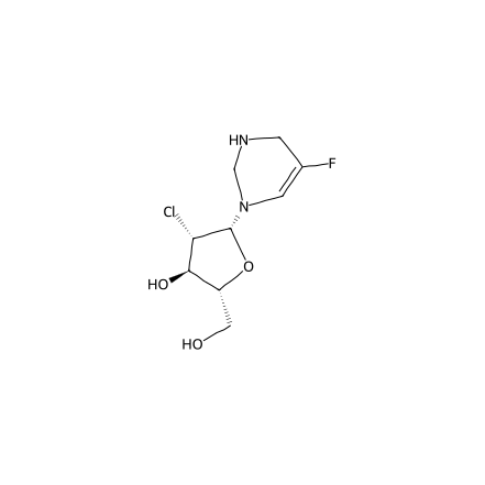 OC[C@H]1O[C@@H](N2C=C(F)CNC2)[C@@H](Cl)[C@@H]1O